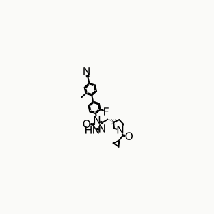 Cc1cc(C#N)ccc1-c1ccc(-n2c(C[C@@H]3CCN(C(=O)C4CC4)C3)n[nH]c2=O)c(F)c1